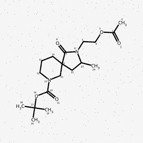 CC(=O)OCCN1C(=O)C2(CCCN(C(=O)OC(C)(C)C)C2)CC1C